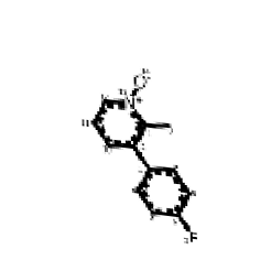 Cc1c(-c2ccc(F)cc2)ccc[n+]1[O-]